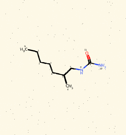 CCCCCC(C)CNC(N)=O